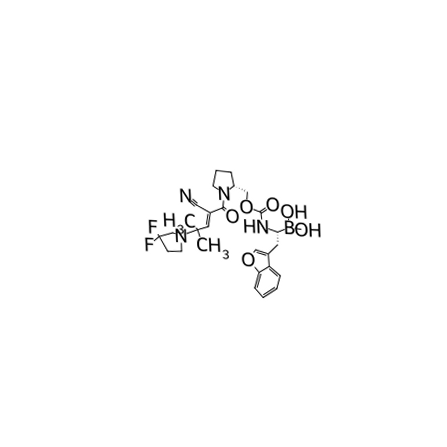 CC(C)(C=C(C#N)C(=O)N1CCC[C@@H]1COC(=O)N[C@@H](Cc1coc2ccccc12)B(O)O)N1CCC(F)(F)C1